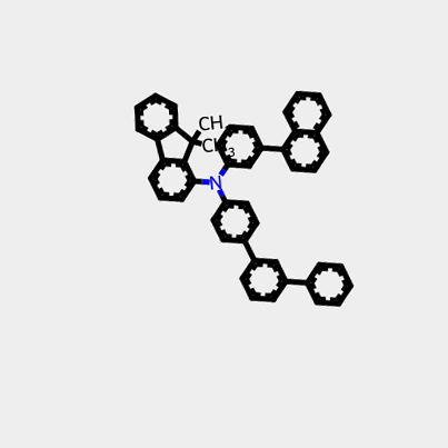 CC1(C)c2ccccc2-c2cccc(N(c3ccc(-c4cccc(-c5ccccc5)c4)cc3)c3cccc(-c4cccc5ccccc45)c3)c21